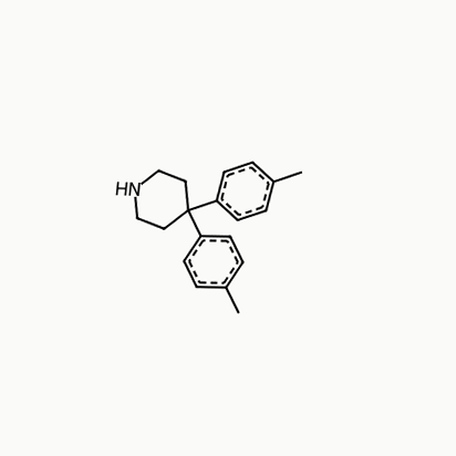 Cc1ccc(C2(c3ccc(C)cc3)CCNCC2)cc1